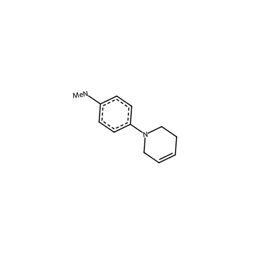 CNc1ccc(N2CC=CCC2)cc1